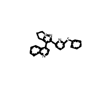 c1ccc(Sc2cccc(-c3nn4c(c3-c3ccnc5ccccc35)CCC4)n2)cc1